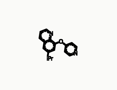 CC(C)c1cc(Oc2ccncc2)c2ncccc2c1